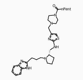 CCCCCC(=O)N1CCN(Cc2csc(NC[C@@H]3CCCN3CCCc3nc4ccccc4[nH]3)n2)CC1